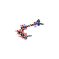 COc1cccc2c1C(=O)c1c(O)c3c(c(O)c1C2=O)C[C@@](O)(C(=O)CO)C[C@@H]3OC1CC(NC(=O)OCCSSCCOC(=O)Nc2nc3ccccc3c3c2ncn3CC(C)C)C(O)C(C)O1